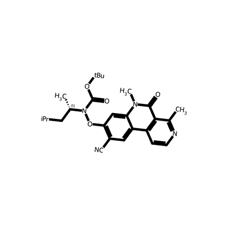 Cc1nccc2c1c(=O)n(C)c1cc(ON(C(=O)OC(C)(C)C)[C@@H](C)CC(C)C)c(C#N)cc21